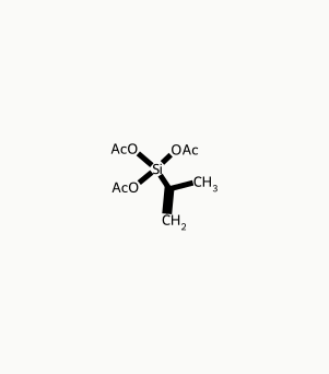 C=C(C)[Si](OC(C)=O)(OC(C)=O)OC(C)=O